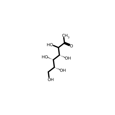 CC(=O)C(O)[C@H](O)[C@@H](O)[C@H](O)CO